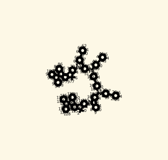 CC1(C)c2cc(-n3c4ccccc4c4cc(N(c5ccc(-c6ccccc6)cc5)c5ccc(-c6ccc(N(c7ccc(-c8ccccc8)cc7)c7ccc8c(c7)c7cc(-c9ccccc9)ccc7n8-c7ccc8c(c7)C(C)(C)c7ccc9c(c7-8)-c7ccccc7C97c8ccccc8-c8ccccc87)cc6)cc5)ccc43)ccc2-c2c1ccc1c2-c2ccccc2C12c1ccccc1-c1ccccc12